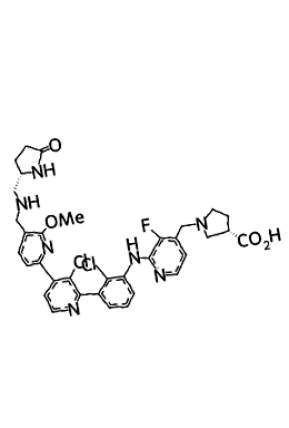 COc1nc(-c2ccnc(-c3cccc(Nc4nccc(CN5CC[C@H](C(=O)O)C5)c4F)c3Cl)c2Cl)ccc1CNC[C@@H]1CCC(=O)N1